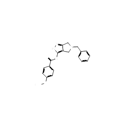 COc1ccc(C(=O)Nc2[nH]nc3c2CN(Cc2ccccc2)C3)cc1